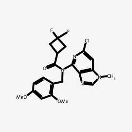 COc1ccc(CN(C(=O)C2CC(F)(F)C2)c2nc(Cl)cc3c2ncn3C)c(OC)c1